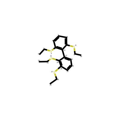 CCSc1[c]ccc(SCC)c1-c1cccc(SCC)c1SCC